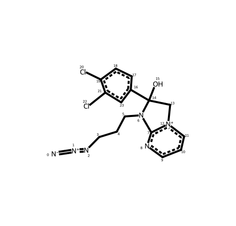 [N-]=[N+]=NCCCN1c2nccc[n+]2CC1(O)c1ccc(Cl)c(Cl)c1